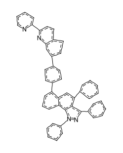 c1ccc(-c2cc3c(-c4ccc(-c5ccc6ccc(-c7ccccn7)nc6c5)cc4)cccc3c3c2c(-c2ccccc2)nn3-c2ccccc2)cc1